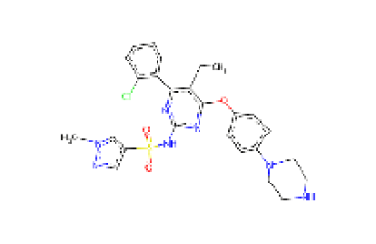 CCc1c(Oc2ccc(N3CCNCC3)cc2)nc(NS(=O)(=O)c2cnn(C)c2)nc1-c1ccccc1Cl